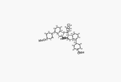 CCCCC1=Cc2c(-c3ccc(OC)cc3)cccc2[CH]1[Zr+2]1([CH]2C(CCCC)=Cc3c(-c4ccc(OC)cc4)cccc32)[CH2][CH2]1.[Cl-].[Cl-]